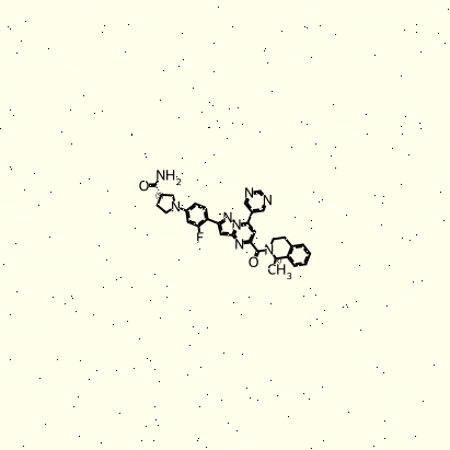 C[C@@H]1c2ccccc2CCN1C(=O)c1cc(-c2cncnc2)n2nc(-c3ccc(N4CC[C@H](C(N)=O)C4)cc3F)cc2n1